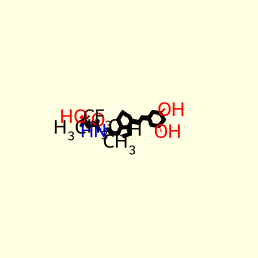 C[C@H](CNC(=O)C[C@](C)(O)C(F)(F)F)[C@H]1CC[C@H]2/C(=C/C=C3C[C@@H](O)C[C@H](O)C3)CCC[C@]12C